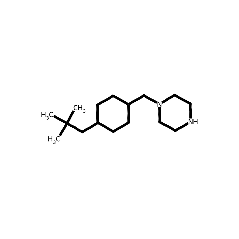 CC(C)(C)CC1CCC(CN2CCNCC2)CC1